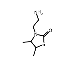 CC1SC(=O)N(CCN)C1C